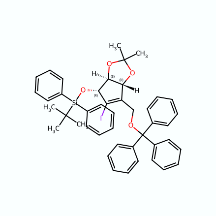 CC1(C)O[C@H]2[C@H](O1)C(COC(c1ccccc1)(c1ccccc1)c1ccccc1)=C(I)[C@@H]2O[Si](c1ccccc1)(c1ccccc1)C(C)(C)C